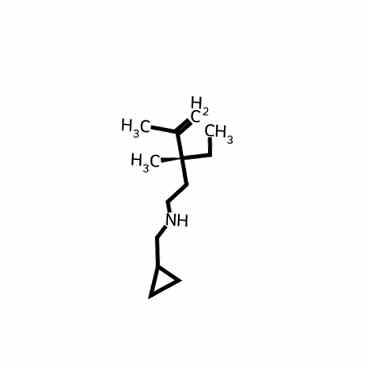 C=C(C)[C@](C)(CC)CCNCC1CC1